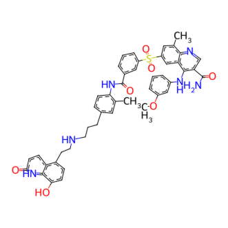 COc1cccc(Nc2c(C(N)=O)cnc3c(C)cc(S(=O)(=O)c4cccc(C(=O)Nc5ccc(CCCNCCc6ccc(O)c7[nH]c(=O)ccc67)cc5C)c4)cc23)c1